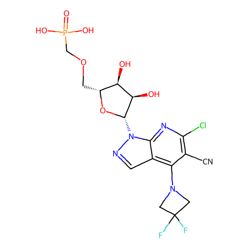 N#Cc1c(Cl)nc2c(cnn2[C@@H]2O[C@H](COCP(=O)(O)O)[C@@H](O)[C@H]2O)c1N1CC(F)(F)C1